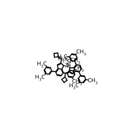 Cc1cc(C)cc(-c2ccc(-c3cc(C)cc(C)c3)c3c2C=C(CC2CCC2)[CH]3[Zr]([CH]2C(CC3CCC3)=Cc3c(-c4cc(C)cc(C)c4)ccc(-c4cc(C)cc(C)c4)c32)[SiH](C)C)c1